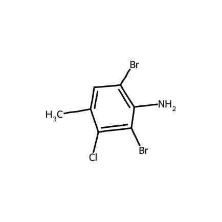 Cc1cc(Br)c(N)c(Br)c1Cl